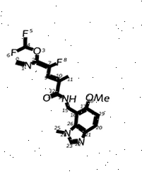 C=N/C(OC(F)F)=C(F)\C=C(/C)C(=O)NCc1c(OC)ccc2ncn(C)c12